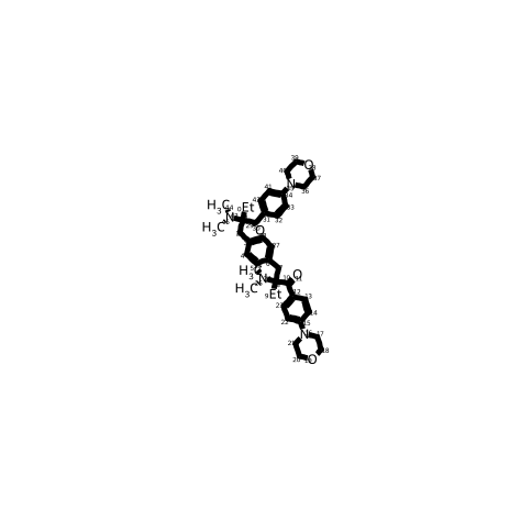 CCC(Cc1ccc(CC(CC)(C(=O)c2ccc(N3CCOCC3)cc2)N(C)C)cc1)(C(=O)c1ccc(N2CCOCC2)cc1)N(C)C